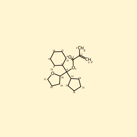 C=C(C)C(=O)OC(C1CCCCC1)(C1CCCC1)C1CCCO1